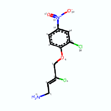 NCC=C(Cl)COc1ccc([N+](=O)[O-])cc1Cl